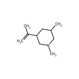 C=C(C)C1CC(C)CN(C)C1